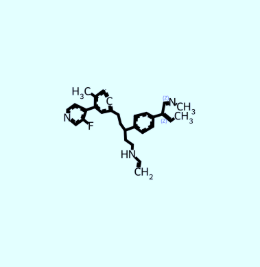 C=CNCCC(CCc1ccc(C)c(-c2ccncc2F)c1)c1ccc(C(/C=N\C)=C/C)cc1